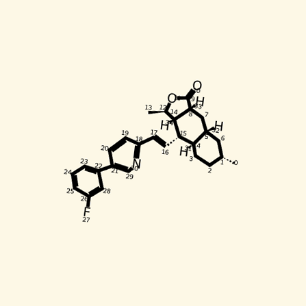 C[C@@H]1CC[C@@H]2[C@@H](C1)C[C@H]1C(=O)O[C@H](C)[C@H]1[C@H]2/C=C/c1ccc(-c2cccc(F)c2)cn1